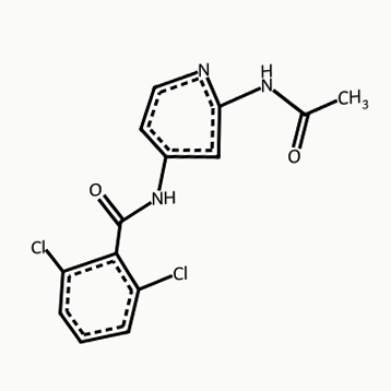 CC(=O)Nc1cc(NC(=O)c2c(Cl)cccc2Cl)ccn1